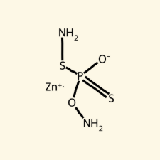 NOP([O-])(=S)SN.[Zn+]